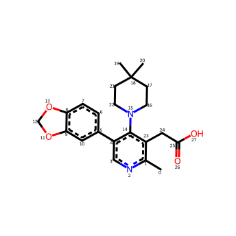 Cc1ncc(-c2ccc3c(c2)OCO3)c(N2CCC(C)(C)CC2)c1CC(=O)O